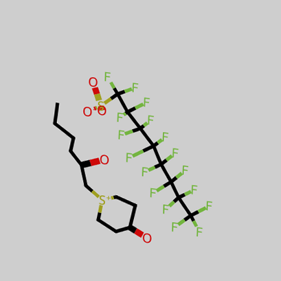 CCCCC(=O)C[S+]1CCC(=O)CC1.O=S(=O)([O-])C(F)(F)C(F)(F)C(F)(F)C(F)(F)C(F)(F)C(F)(F)C(F)(F)C(F)(F)F